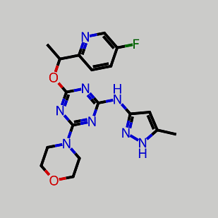 Cc1cc(Nc2nc(OC(C)c3ccc(F)cn3)nc(N3CCOCC3)n2)n[nH]1